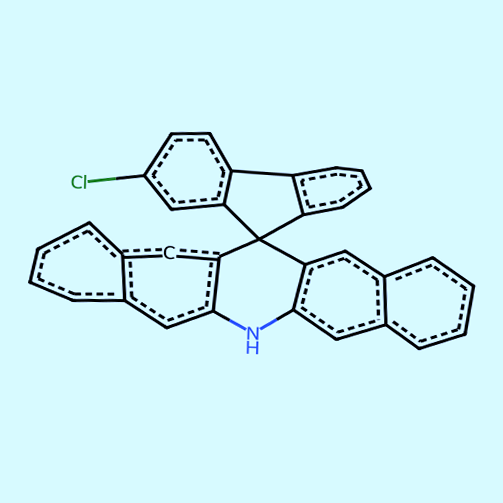 Clc1ccc2c(c1)C1(c3cc4ccccc4cc3Nc3cc4ccccc4cc31)c1ccccc1-2